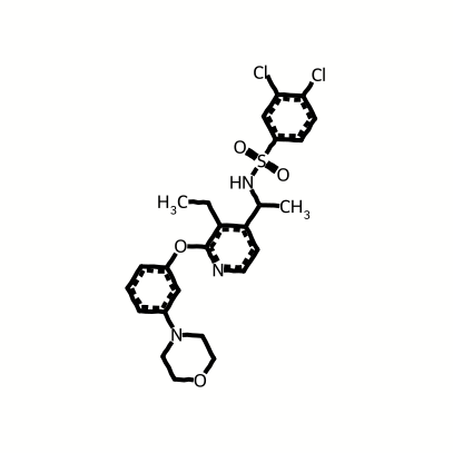 CCc1c(C(C)NS(=O)(=O)c2ccc(Cl)c(Cl)c2)ccnc1Oc1cccc(N2CCOCC2)c1